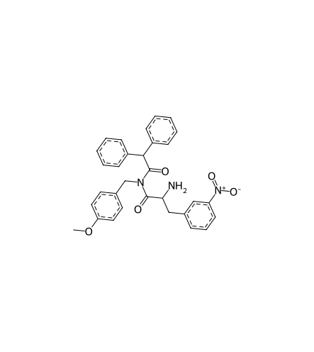 COc1ccc(CN(C(=O)C(N)Cc2cccc([N+](=O)[O-])c2)C(=O)C(c2ccccc2)c2ccccc2)cc1